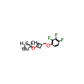 CC(C)(C)[Si](C)(C)O[C@H]1C[C@@H](COc2ccc(F)c(F)c2F)C1